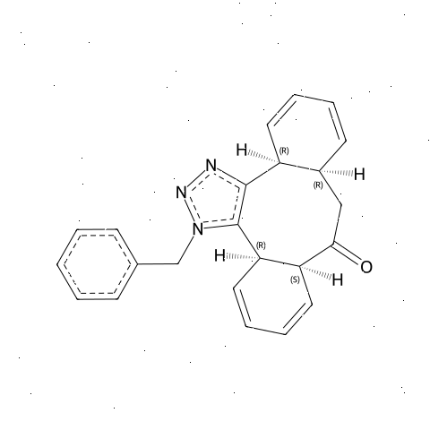 O=C1C[C@@H]2C=CC=C[C@@H]2c2nnn(Cc3ccccc3)c2[C@@H]2C=CC=C[C@H]12